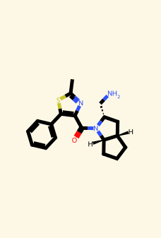 Cc1nc(C(=O)N2[C@H](CN)C[C@@H]3CCC[C@@H]32)c(-c2ccccc2)s1